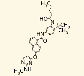 CCCCC(O)N1CC(C)(C)c2ccc(NC(=O)c3cccc4cc(Oc5ccnc(NC)n5)ccc34)cc21